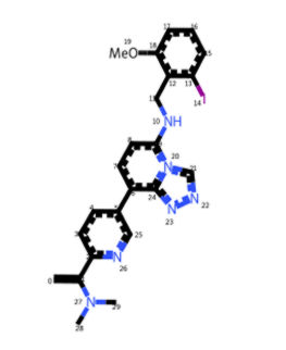 C=C(c1ccc(-c2ccc(NCc3c(I)cccc3OC)n3cnnc23)cn1)N(C)C